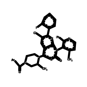 CC(=O)C(=O)N1CCN(c2nc(=O)n(-c3c(C)ccnc3C(C)C)c3nc(-c4ccccc4F)c(Cl)cc23)C(C)C1